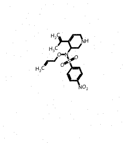 C=CCON(C1CNCC=C1C(=C)C)S(=O)(=O)c1ccc([N+](=O)[O-])cc1